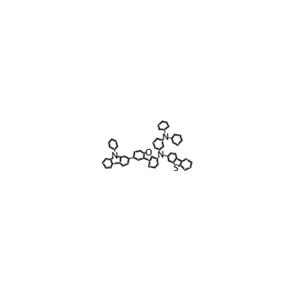 c1ccc(N(c2ccccc2)c2cccc(N(c3ccc4c(c3)sc3ccccc34)c3cccc4c3oc3ccc(-c5ccc6c7ccccc7n(-c7ccccc7)c6c5)cc34)c2)cc1